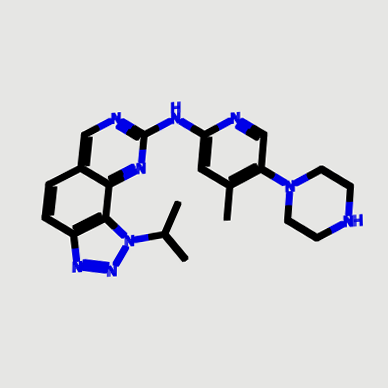 Cc1cc(Nc2ncc3ccc4nnn(C(C)C)c4c3n2)ncc1N1CCNCC1